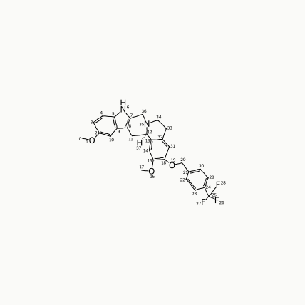 COc1ccc2[nH]c3c(c2c1)C[C@@H]1c2cc(OC)c(OCc4ccc(C(F)(F)F)cc4)cc2CCN1C3